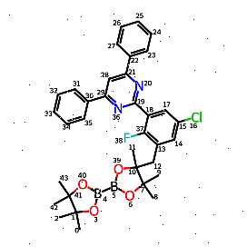 CC1(C)OB(B2OC(C)(C)C(C)(Cc3cc(Cl)cc(-c4nc(-c5ccccc5)cc(-c5ccccc5)n4)c3F)O2)OC1(C)C